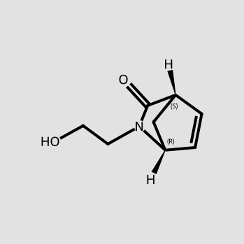 O=C1[C@@H]2C=C[C@@H](C2)N1CCO